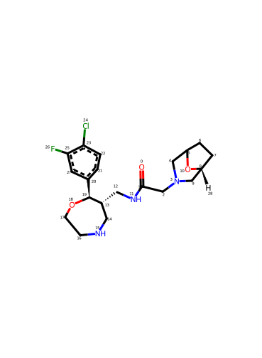 O=C(CN1CC2CC[C@H](C1)O2)NC[C@@H]1CNCCO[C@H]1c1ccc(Cl)c(F)c1